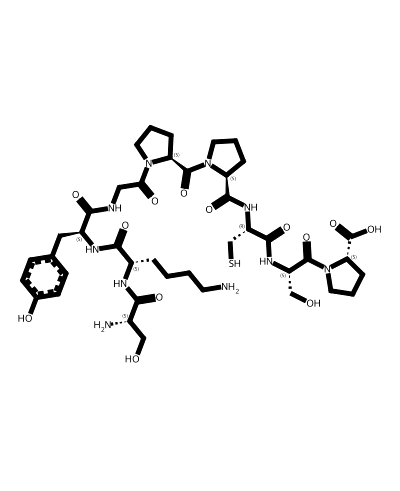 NCCCC[C@H](NC(=O)[C@@H](N)CO)C(=O)N[C@@H](Cc1ccc(O)cc1)C(=O)NCC(=O)N1CCC[C@H]1C(=O)N1CCC[C@H]1C(=O)N[C@@H](CS)C(=O)N[C@@H](CO)C(=O)N1CCC[C@H]1C(=O)O